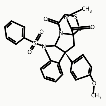 COc1ccc([C@]23CC45SSC(C(=O)N4C2N(S(=O)(=O)c2ccccc2)c2ccccc23)N(C)C5=O)cc1